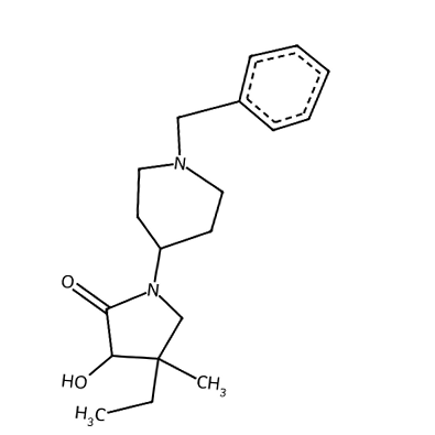 CCC1(C)CN(C2CCN(Cc3ccccc3)CC2)C(=O)C1O